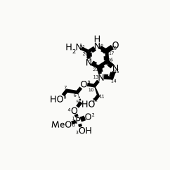 COP(=O)(O)OC[C@H](CO)O[C@H](CO)n1cnc2c(=O)[nH]c(N)nc21